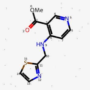 COC(=O)c1cnccc1NCc1nccs1